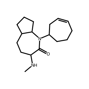 CNC1CCC2CCCC2N(C2CC=CCCC2)C1=O